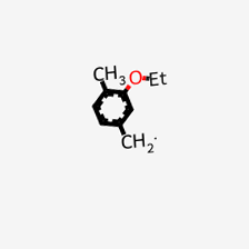 [CH2]c1ccc(C)c(OCC)c1